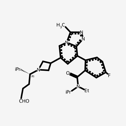 CCN(C(=O)c1cc(F)ccc1-c1cc(C2CN([C@H](CCC=O)C(C)C)C2)cn2c(C)nnc12)C(C)C